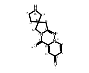 O=c1ccn2nc3n(c(=O)c2c1)CC1(CCNC1)C3